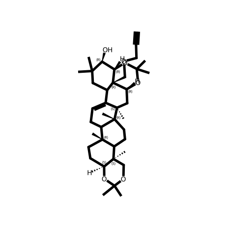 C#CCOC[C@@]12C3CC(C)(C)[C@@H](O)[C@@H]1OC(C)(C)O[C@@H]2C[C@]1(C)C3=CCC2[C@@]3(C)CC[C@@H]4OC(C)(C)OC[C@]4(C)C3CC[C@]21C